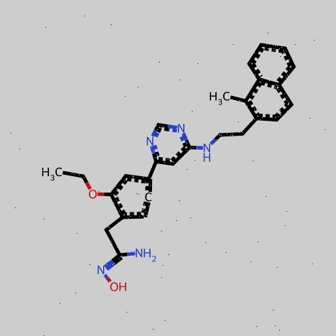 CCOc1cc(-c2cc(NCCc3ccc4ccccc4c3C)ncn2)ccc1C/C(N)=N/O